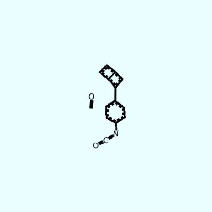 C=O.O=C=Nc1ccc(-c2cc3ccc2-3)cc1